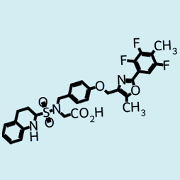 Cc1oc(-c2cc(F)c(C)c(F)c2F)nc1COc1ccc(CN(CC(=O)O)S(=O)(=O)C2CCc3ccccc3N2)cc1